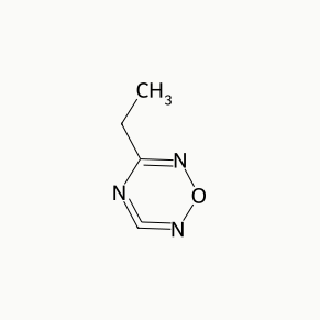 CCC1=NON=C=N1